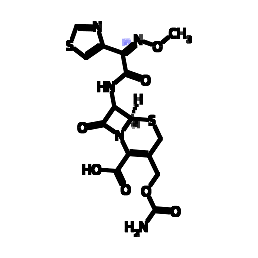 CO/N=C(\C(=O)NC1C(=O)N2C(C(=O)O)=C(COC(N)=O)CS[C@H]12)c1cscn1